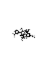 COC(=O)C1=C(C)N(c2cccc(C(F)(F)F)c2)C(=O)N[C@@H]1c1ccc(C#N)cc1S(C)(=O)=O